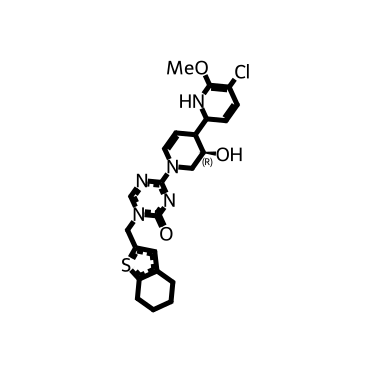 COC1=C(Cl)C=CC(C2C=CN(c3ncn(Cc4cc5c(s4)CCCC5)c(=O)n3)C[C@@H]2O)N1